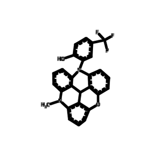 CN1c2cccc3c2C2c4c(cccc4N(c4cc(C(F)(F)F)ccc4O)c4cccc1c42)O3